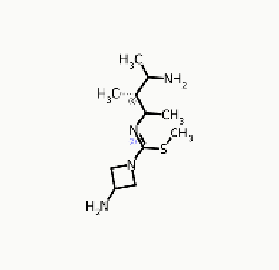 CS/C(=N\C(C)[C@H](C)C(C)N)N1CC(N)C1